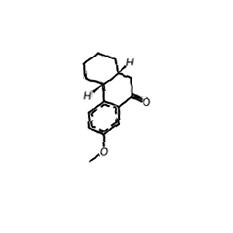 COc1ccc2c(c1)C(=O)C[C@H]1CCCC[C@@H]21